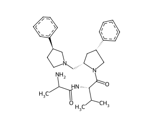 CC(N)C(=O)N[C@H](C(=O)N1C[C@@H](c2ccccc2)C[C@H]1CN1CC[C@@H](c2ccccc2)C1)C(C)C